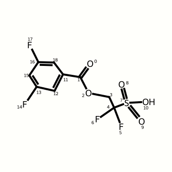 O=C(OCC(F)(F)S(=O)(=O)O)c1cc(F)cc(F)c1